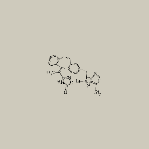 CCc1nc2c(C)ccnc2n1Cc1ccc2c(c1)CCc1ccccc1C2=C(C)c1noc(=O)[nH]1